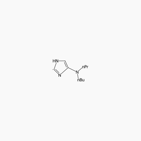 CCCCN(CCC)c1c[nH][c]n1